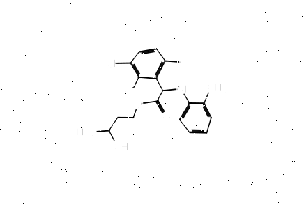 Cc1ccccc1NC(C(=O)OCCC(C)C)c1c(Cl)ccc(Cl)c1Cl